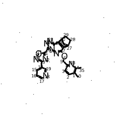 Cc1ccc(COc2nn3c(-c4nc(-c5cccnc5)no4)nnc3c3c2C2CCC3CC2)nc1C